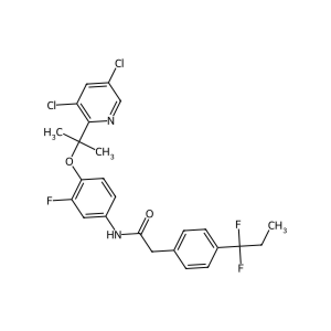 CCC(F)(F)c1ccc(CC(=O)Nc2ccc(OC(C)(C)c3ncc(Cl)cc3Cl)c(F)c2)cc1